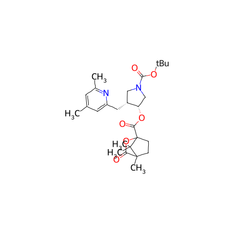 Cc1cc(C)nc(C[C@@H]2CN(C(=O)OC(C)(C)C)C[C@@H]2OC(=O)C23CCC(C)(C(=O)O2)C3(C)C)c1